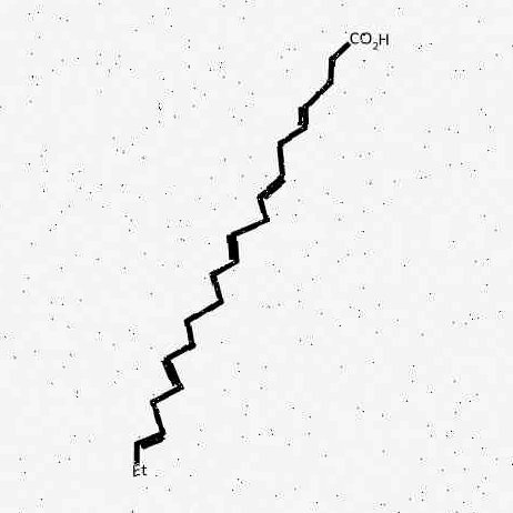 CC/C=C/C/C=C/CCCC/C=C/C/C=C/C/C=C/CCC(=O)O